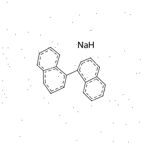 [NaH].c1ccc2c(-c3cccc4ccccc34)cccc2c1